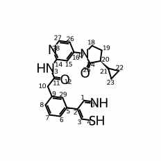 N=C/C(=C\S)c1cccc(CC(=O)Nc2cc(N3CC[C@@H](C4CC4)C3=O)ccn2)c1